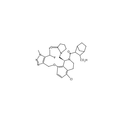 Cn1nnc(COc2ccc(Cl)c3c2[C@@H](CN2CCCC2=O)N(C(=O)C2C4CCC(C4)C2C(=O)O)CC3)c1C(F)F